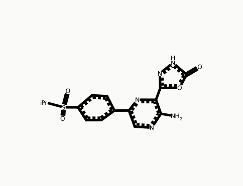 CC(C)S(=O)(=O)c1ccc(-c2cnc(N)c(-c3n[nH]c(=O)o3)n2)cc1